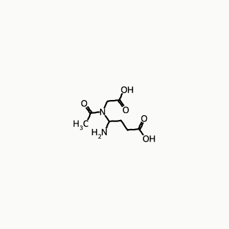 CC(=O)N(CC(=O)O)C(N)CCC(=O)O